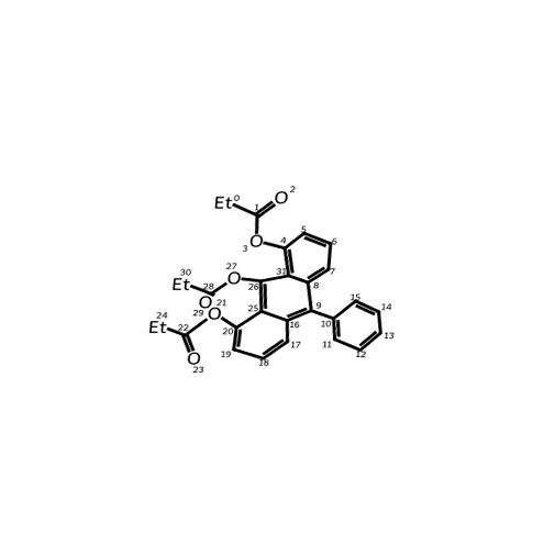 CCC(=O)Oc1cccc2c(-c3ccccc3)c3cccc(OC(=O)CC)c3c(OC(=O)CC)c12